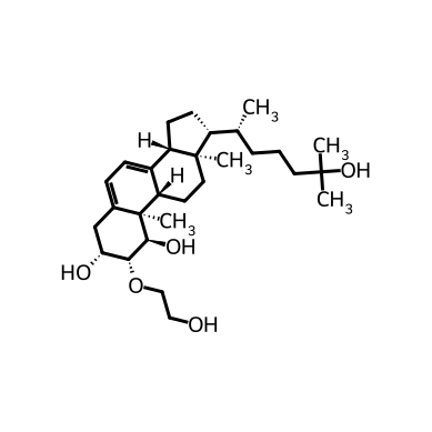 C[C@H](CCCC(C)(C)O)[C@H]1CC[C@H]2C3=CC=C4C[C@@H](O)[C@@H](OCCO)[C@H](O)[C@]4(C)[C@H]3CC[C@]12C